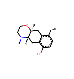 CSc1ccc(O)c2c1C[C@@H]1OCCN(C)[C@H]1C2